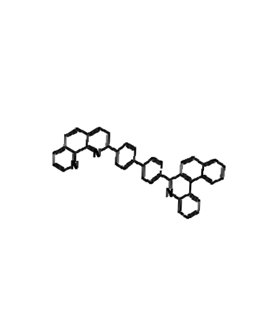 c1ccc2c(c1)ccc1c(-c3ccc(-c4ccc(-c5ccc6ccc7cccnc7c6n5)cc4)cc3)nc3ccccc3c12